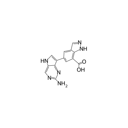 Nc1ncc2[nH]cc(-c3cc(C(=O)O)c4[nH]ncc4c3)c2n1